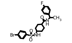 CC(NC(=O)C1CCC(NS(=O)(=O)c2ccc(Br)cc2)CC1)c1ccc(F)cc1